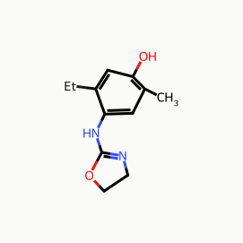 CCc1cc(O)c(C)cc1NC1=NCCO1